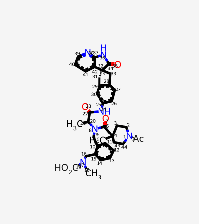 CC(=O)N1CCC(C)(C(=O)N(Cc2ccccc2CN(C)C(=O)O)C(C)C(=O)Nc2ccc3c(c2)C[C@@]2(C3)C(=O)Nc3ncccc32)CC1